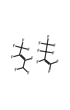 F/C(=C(/F)C(F)(F)F)C(F)F.FC(F)=C(F)C(F)(F)C(F)(F)F